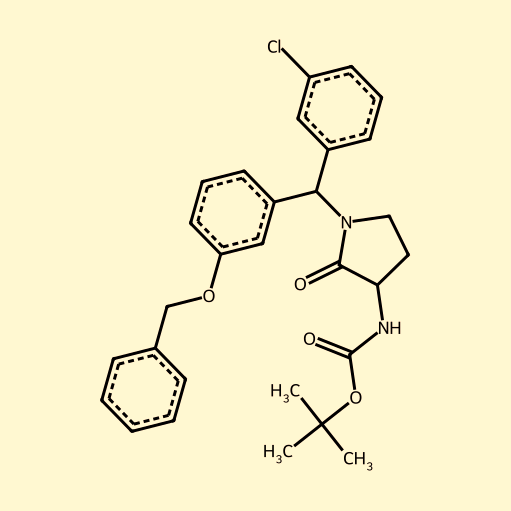 CC(C)(C)OC(=O)NC1CCN(C(c2cccc(Cl)c2)c2cccc(OCc3ccccc3)c2)C1=O